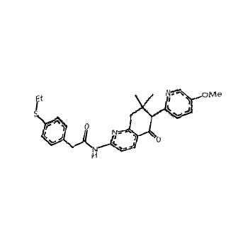 CCSc1ccc(CC(=O)Nc2ccc3c(n2)CC(C)(C)C(c2ccc(OC)cn2)C3=O)cc1